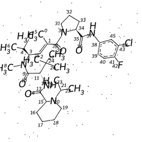 C/C(=C\[C@H](C(C)C)N(C)C(=O)[C@@H](NC(=O)C1CCCCN1C(C)C)C(C)(C)C)C(=O)N1CCC[C@H]1C(=O)Nc1ccc(F)c(Cl)c1